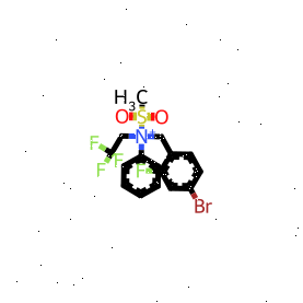 CS(=O)(=O)[N+](Cc1ccc(Br)cc1F)(CC(F)(F)F)c1ccccc1